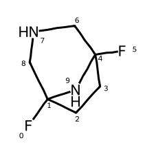 FC12CCC(F)(CNC1)N2